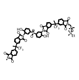 CC[Si](C)(C)O[Si](C)(C)CN1C(=O)c2ccc(C(C)(c3ccc4c(c3)C(=O)N(c3cc(S(=O)(=O)c5ccc(O)c(N6C(=O)c7ccc(C(C)(c8ccc9c(c8)C(=O)N(C)C9=O)C(F)(F)F)cc7C6=O)c5)ccc3O)C4=O)C(F)(F)F)cc2C1=O